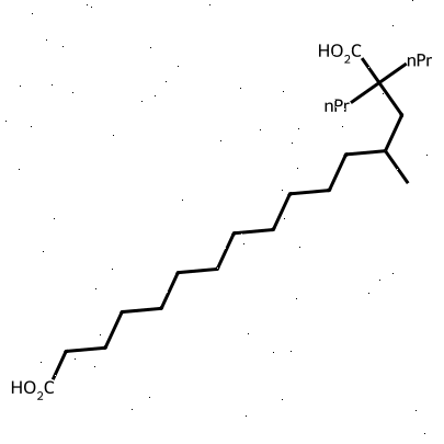 CCCC(CCC)(CC(C)CCCCCCCCCCCC(=O)O)C(=O)O